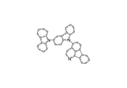 c1ccc2c(c1)-c1ccc(-n3c4ccccc4c4cc(-n5c6ccccc6c6ccccc65)ccc43)c3ccnc-2c13